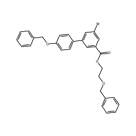 O=C(OCCOCc1ccccc1)c1cc(Br)cc(-c2ccc(OCc3ccccc3)cc2)c1